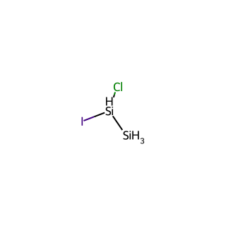 [SiH3][SiH](Cl)I